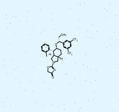 CC(=O)OC[C@@H](O[C@H]1CC[C@@H]2CN(C3=NC(=O)CO3)C[C@H]2[C@@H]1c1ccccc1C)c1cc(C(F)(F)F)cc(C(F)(F)F)c1